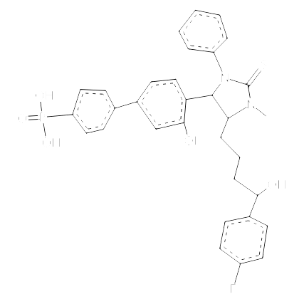 CN1C(=S)N(c2ccccc2)C(c2ccc(-c3ccc(P(=O)(O)O)cc3)cc2O)C1CCCC(O)c1ccc(F)cc1